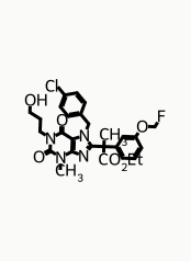 CCOC(=O)C(C)(c1cccc(OCF)c1)c1nc2c(c(=O)n(CCCO)c(=O)n2C)n1Cc1ccc(Cl)cc1